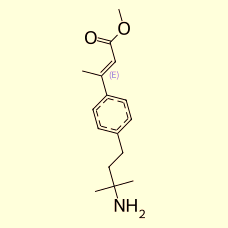 COC(=O)/C=C(\C)c1ccc(CCC(C)(C)N)cc1